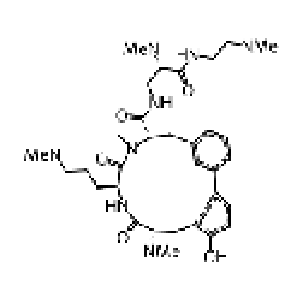 CNCCC[C@@H]1NC(=O)[C@@H](NC)Cc2cc(ccc2O)-c2cccc(c2)C[C@@H](C(=O)NC[C@H](NC)C(=O)NCCNC)N(C)C1=O